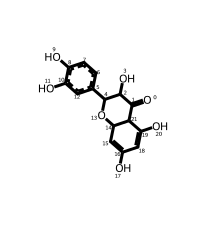 O=C1C(O)C(c2ccc(O)c(O)c2)OC2C=C(O)C=C(O)C12